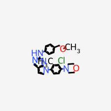 COCc1ccc(Nc2ncc3ccn(-c4ccc(N5CCOCC5)c(Cl)c4C)c3n2)cc1